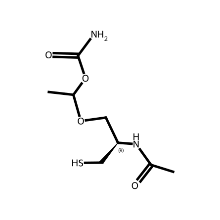 CC(=O)N[C@@H](CS)COC(C)OC(N)=O